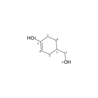 OCC1CC=C(O)CC1